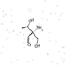 C[C@@H](O)[C@](N)(C=O)CO